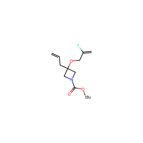 C=CCC1(OCC(=C)F)CN(C(=O)OC(C)(C)C)C1